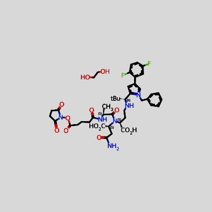 C[C@H](NC(=O)CCCC(=O)ON1C(=O)CCC1=O)C(=O)N([C@@H](CCN[C@@H](c1cc(-c2cc(F)ccc2F)cn1Cc1ccccc1)C(C)(C)C)C(=O)O)[C@@H](CC(N)=O)C(=O)O.OCCO